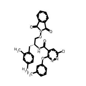 Cc1ccc(C[C@H](CON2C(=O)c3ccccc3C2=O)NC(=O)c2cc(Cl)nnc2Oc2cccc(C(F)(F)F)c2)c(C)c1